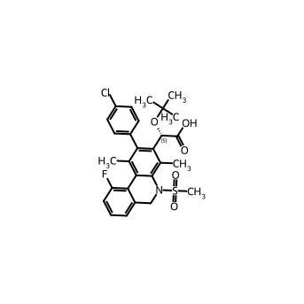 Cc1c(-c2ccc(Cl)cc2)c([C@H](OC(C)(C)C)C(=O)O)c(C)c2c1-c1c(F)cccc1CN2S(C)(=O)=O